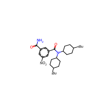 CCC(C)C1CCC(N(C(=O)c2cc(C(N)=O)cc([N+](=O)[O-])c2)C2CCC(C(C)CC)CC2)CC1